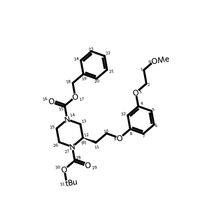 COCCOc1cccc(OCC[C@@H]2CN(C(=O)OCc3ccccc3)CCN2C(=O)OC(C)(C)C)c1